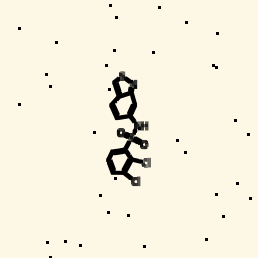 O=S(=O)(Nc1ccc2csnc2c1)c1cccc(Cl)c1Cl